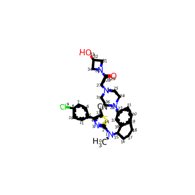 CN(c1nc(-c2ccc(Cl)cc2)c(C#N)s1)C1CCCc2ccc(N3CCN(CC(=O)N4CC(O)C4)CC3)cc21